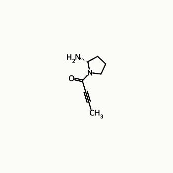 CC#CC(=O)N1CCC[C@H]1N